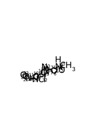 CC(=O)Nc1cccc(-c2cnc3cc(-c4ccc(CN5CCOCC5)cc4)ccn23)c1.Cl